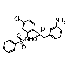 Nc1cccc(CS(=O)(=O)c2ccc(Cl)cc2NS(=O)(=O)c2ccccc2)c1